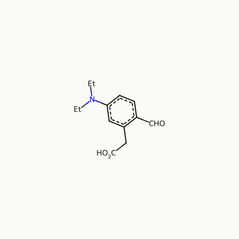 CCN(CC)c1ccc(C=O)c(CC(=O)O)c1